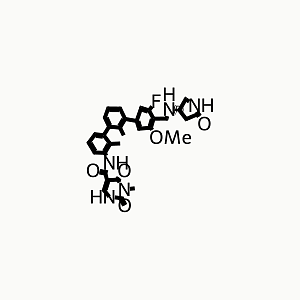 COc1cc(-c2cccc(-c3cccc(NC(=O)c4c[nH]c(=O)n(C)c4=O)c3C)c2C)cc(F)c1CN[C@H]1CNC(=O)C1